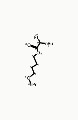 [CH2]CCOCCCCOC(=O)C(CC)CCCC